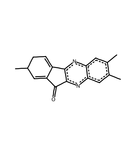 Cc1cc2nc3c(nc2cc1C)C1=CCC(C)C=C1C3=O